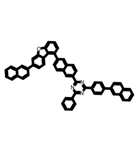 c1ccc(-c2nc(-c3ccc(-c4ccc5ccccc5c4)cc3)nc(-c3ccc4cc(-c5cccc6oc7cc(-c8ccc9ccccc9c8)ccc7c56)ccc4c3)n2)cc1